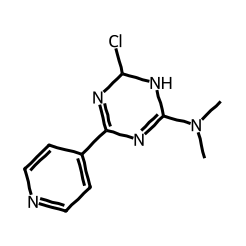 CN(C)C1=NC(c2ccncc2)=NC(Cl)N1